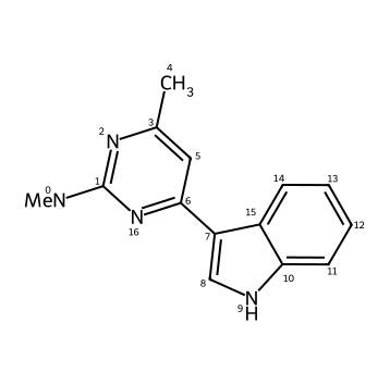 CNc1nc(C)cc(-c2c[nH]c3ccccc23)n1